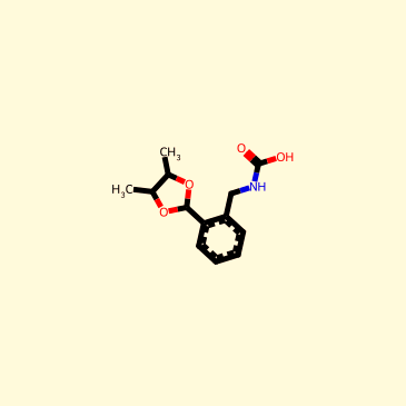 CC1OC(c2ccccc2CNC(=O)O)OC1C